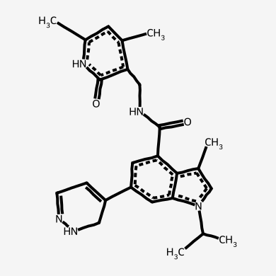 Cc1cc(C)c(CNC(=O)c2cc(C3=CC=NNC3)cc3c2c(C)cn3C(C)C)c(=O)[nH]1